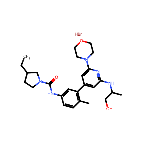 Br.Cc1ccc(NC(=O)N2CCC(CC(F)(F)F)C2)cc1-c1cc(NC(C)CO)nc(N2CCOCC2)c1